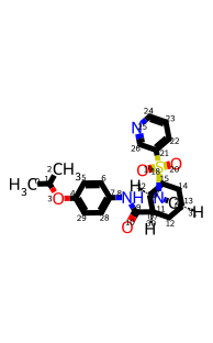 CC(C)Oc1ccc(NC(=O)[C@@H]2C[C@@H]3CC[C@H]2N(S(=O)(=O)c2cccnc2)C3)cc1